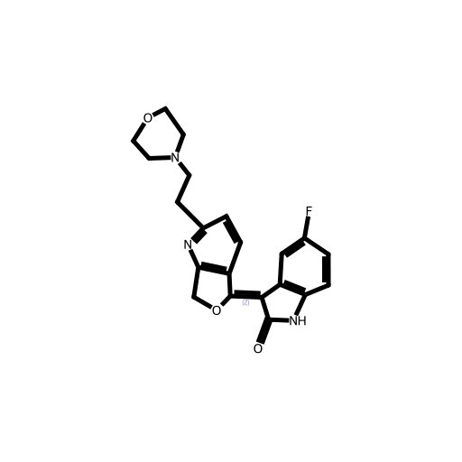 O=C1Nc2ccc(F)cc2/C1=C1/OCc2nc(CCN3CCOCC3)ccc21